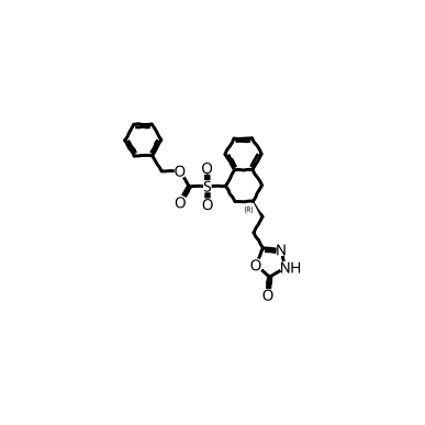 O=C(OCc1ccccc1)S(=O)(=O)C1C[C@H](CCc2n[nH]c(=O)o2)Cc2ccccc21